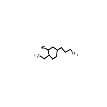 CCCCC1CCC(CC)C(O)C1